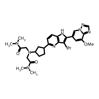 COc1cc(-c2[nH]c3ccc(C4CCC(N(CC(=O)N(C)C)CC(=O)N(C)C)C4)nc3c2C(C)C)cn2ncnc12